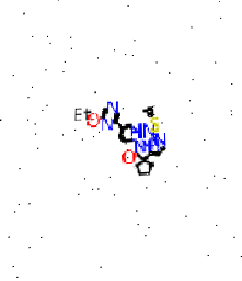 CCOc1cncc(-c2ccc(NC(=O)C3(c4ccnc(NSC5CC5)n4)CCCC3)nc2)n1